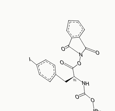 CC(C)(C)OC(=O)N[C@@H](Cc1ccc(I)cc1)C(=O)ON1C(=O)c2ccccc2C1=O